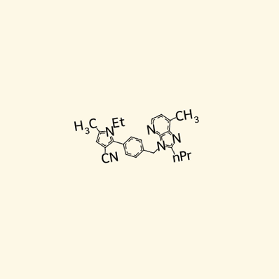 CCCc1nc2c(C)ccnc2n1Cc1ccc(-c2c(C#N)cc(C)n2CC)cc1